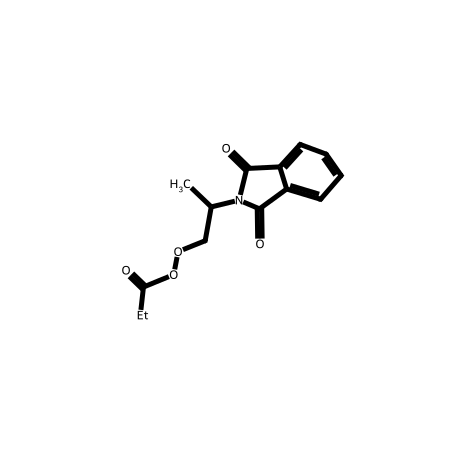 CCC(=O)OOCC(C)N1C(=O)c2ccccc2C1=O